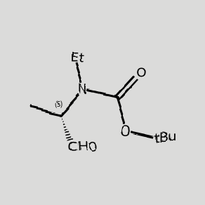 CCN(C(=O)OC(C)(C)C)[C@@H](C)C=O